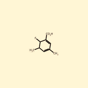 CC1=CC(C)C(F)C(C(=O)O)=C1